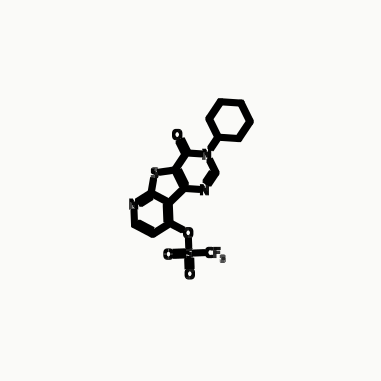 O=c1c2sc3nccc(OS(=O)(=O)C(F)(F)F)c3c2ncn1C1CCCCC1